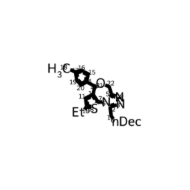 CCCCCCCCCCCc1nnc2n1-c1sc(CC)cc1C(c1ccc(C)cc1)OC2